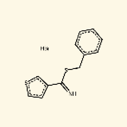 Br.N=C(SCc1ccccc1)c1ccsc1